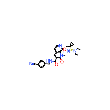 CCN(CC)S(=N)C1(COc2nccc3cc(C(=O)NCc4ccc(C#N)cc4)c(=O)n(C)c23)CC1